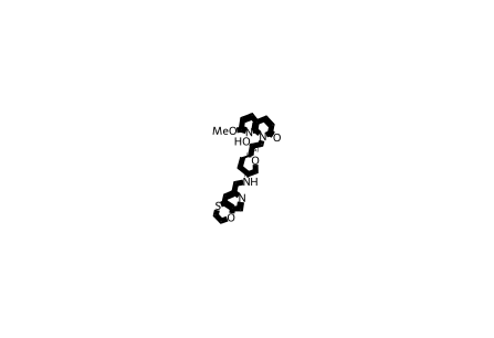 COc1ccc2ccc(=O)n(C[C@H](O)[C@@H]3CC[C@@H](NCc4cc5c(cn4)OCCS5)CO3)c2n1